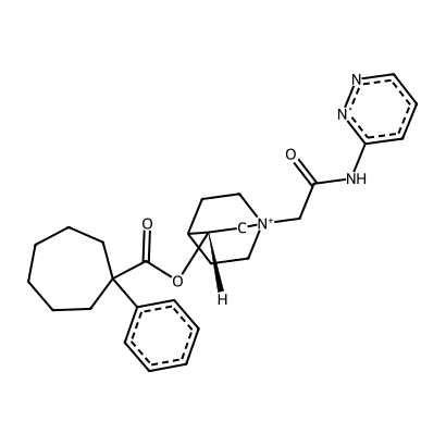 O=C(C[N+]12CCC(CC1)[C@@H](OC(=O)C1(c3ccccc3)CCCCCC1)C2)Nc1cccnn1